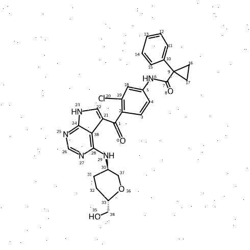 O=C(c1ccc(NC(=O)C2(c3ccccc3)CC2)cc1Cl)c1c[nH]c2ncnc(N[C@@H]3CC[C@@H](CO)OC3)c12